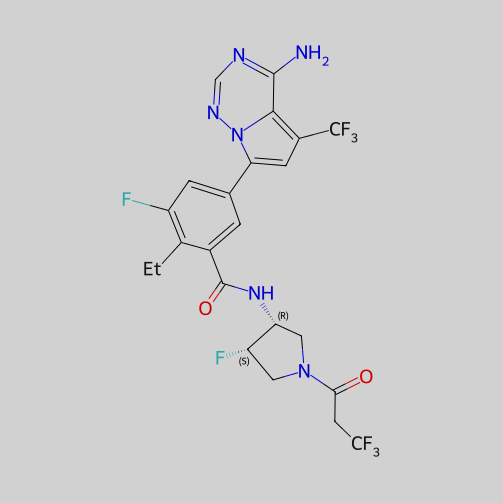 CCc1c(F)cc(-c2cc(C(F)(F)F)c3c(N)ncnn23)cc1C(=O)N[C@@H]1CN(C(=O)CC(F)(F)F)C[C@@H]1F